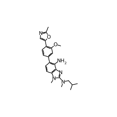 COc1cc(-c2ccc3c(nc(N(C)CC(C)C)n3C)c2N)ccc1-c1cnc(C)o1